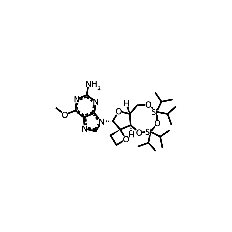 COc1nc(N)nc2c1ncn2[C@@H]1O[C@@H]2CO[Si](C(C)C)(C(C)C)O[Si](C(C)C)(C(C)C)O[C@H]2[C@@]12CCO2